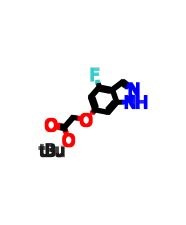 CC(C)(C)OC(=O)COc1cc(F)c2cn[nH]c2c1